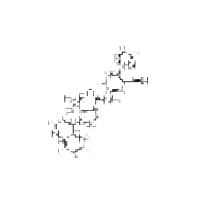 N#Cc1cc(NC(=O)c2cnn(-c3ccnc4cccnc34)c2C(F)(F)F)cnc1-n1nccn1